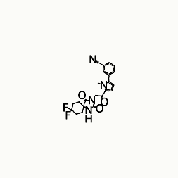 Cn1c(C(=O)CN2C(=O)NC3(CCC(F)(F)CC3)C2=O)ccc1-c1cccc(C#N)c1